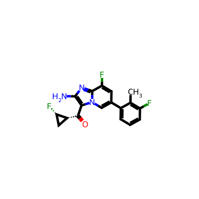 Cc1c(F)cccc1-c1cc(F)c2nc(N)c(C(=O)[C@@H]3C[C@@H]3F)n2c1